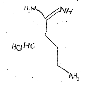 Cl.Cl.N=C(N)CCCN